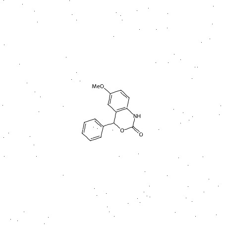 COc1ccc2c(c1)C(c1ccccc1)OC(=O)N2